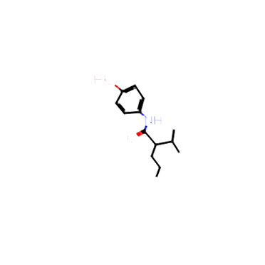 CCCC(C(=O)Nc1ccc(O)cc1)C(C)C